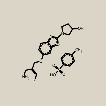 Cc1ccc(S(=O)(=O)O)cc1.NCC(=CF)COc1ccc2nc(N3CCC(O)C3)oc2c1